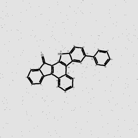 O=C1c2ccccc2-c2c1c1[nH]c3ccc(-c4ccccc4)cc3c1c1ccccc21